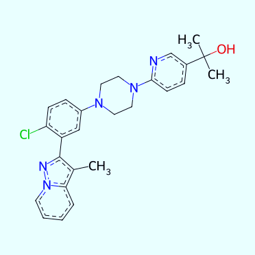 Cc1c(-c2cc(N3CCN(c4ccc(C(C)(C)O)cn4)CC3)ccc2Cl)nn2ccccc12